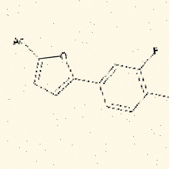 CC(=O)c1ccc(-c2ccc(F)c(F)c2)o1